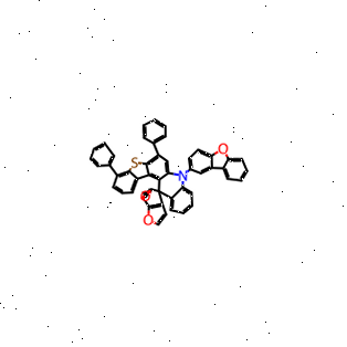 c1ccc(-c2cccc3c2sc2c(-c4ccccc4)cc4c(c23)C2(c3ccccc3N4c3ccc4oc5ccccc5c4c3)c3ccoc3-c3occc32)cc1